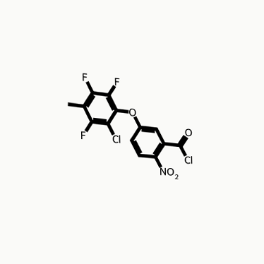 Cc1c(F)c(F)c(Oc2ccc([N+](=O)[O-])c(C(=O)Cl)c2)c(Cl)c1F